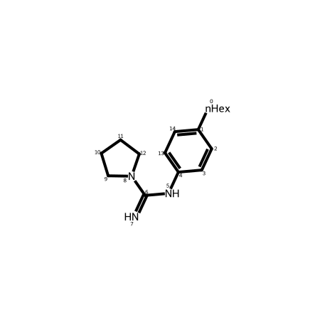 CCCCCCc1ccc(NC(=N)N2CCCC2)cc1